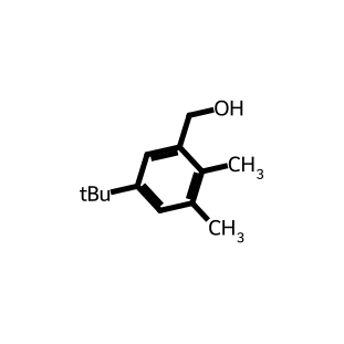 Cc1cc(C(C)(C)C)cc(CO)c1C